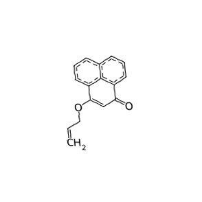 C=CCOC1=CC(=O)c2cccc3cccc1c23